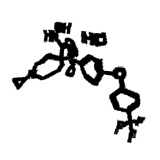 Cl.O=C(NO)C1(S(=O)(=O)c2ccc(Oc3ccc(C(F)(F)F)cc3)cc2)CCN(C2CC2)CC1